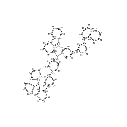 c1ccc(C2(c3ccccc3)c3ccccc3-c3ccc(-c4ccc(N(c5ccc(-c6cccc(-c7cccc8ccccc78)c6)cc5)c5cccc6c5oc5ccccc56)cc4)cc32)cc1